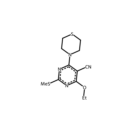 CCOc1nc(SC)nc(N2CCSCC2)c1C#N